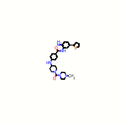 CN1CCN(C(=O)N2CCC(Nc3ccc(C(=O)Nc4cc(-c5cccs5)ccc4N)cc3)CC2)CC1